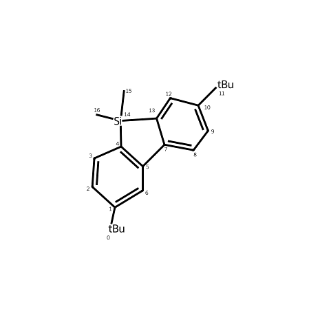 CC(C)(C)c1ccc2c(c1)-c1ccc(C(C)(C)C)cc1[Si]2(C)C